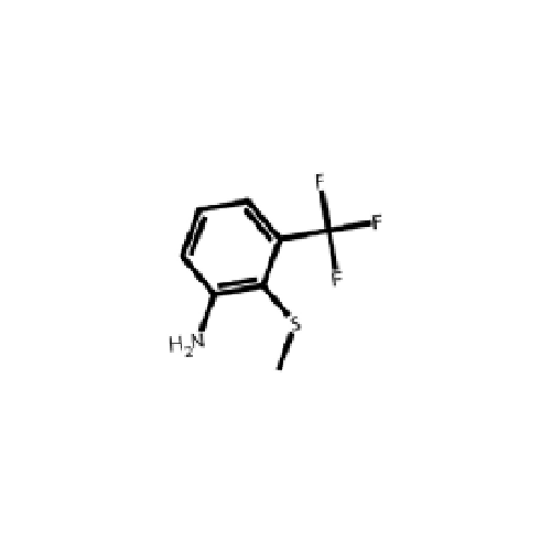 CSc1c(N)cccc1C(F)(F)F